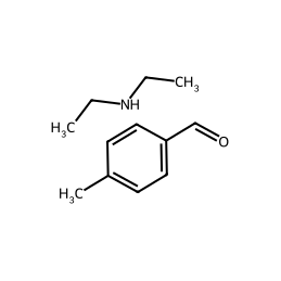 CCNCC.Cc1ccc(C=O)cc1